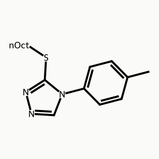 CCCCCCCCSc1nncn1-c1ccc(C)cc1